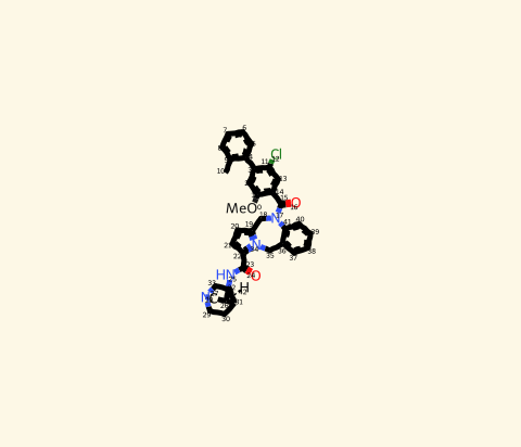 COc1cc(-c2ccccc2C)c(Cl)cc1C(=O)N1Cc2ccc(C(=O)N[C@@H]3CN4CCC3CC4)n2Cc2ccccc21